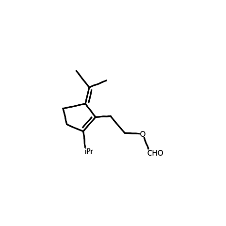 CC(C)=C1CCC(C(C)C)=C1CCOC=O